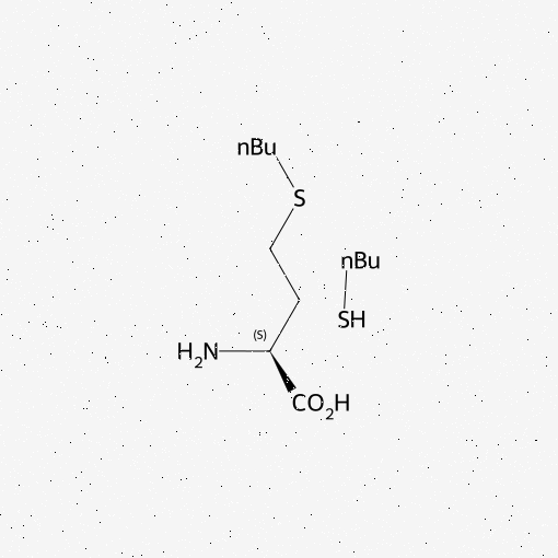 CCCCS.CCCCSCC[C@H](N)C(=O)O